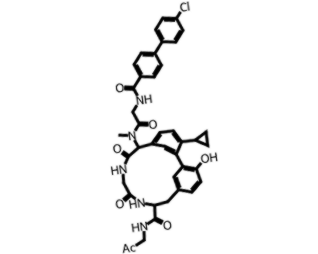 CC(=O)CNC(=O)C1Cc2ccc(O)c(c2)-c2cc(ccc2C2CC2)C(N(C)C(=O)CNC(=O)c2ccc(-c3ccc(Cl)cc3)cc2)C(=O)NCC(=O)N1